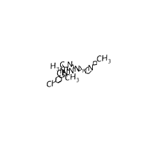 Cc1nn([C@H](C)c2ccc(Cl)cc2Cl)c2nc(N3CC([C@H]4CCCN(C5CC(C)C5)C4)C3)cnc12